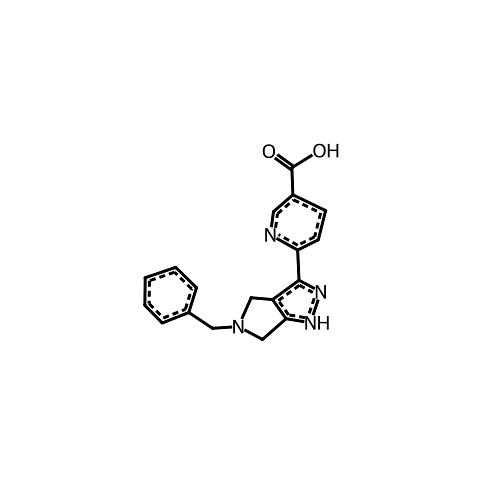 O=C(O)c1ccc(-c2n[nH]c3c2CN(Cc2ccccc2)C3)nc1